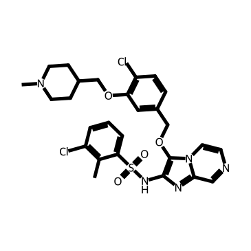 Cc1c(Cl)cccc1S(=O)(=O)Nc1nc2cnccn2c1OCc1ccc(Cl)c(OCC2CCN(C)CC2)c1